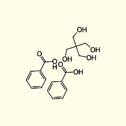 O=C(O)c1ccccc1.O=C(O)c1ccccc1.OCC(CO)(CO)CO